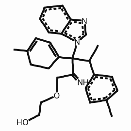 CC1=CC=C(C(C(=N)COCCO)(C(C)c2ccc(C)cc2)n2cnc3ccccc32)CC1